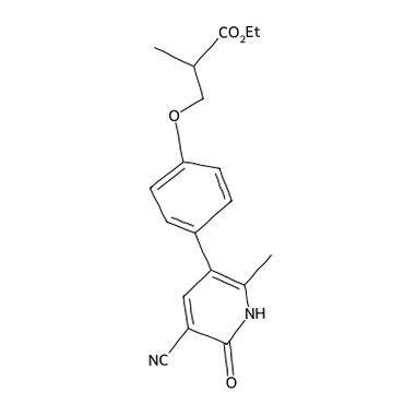 CCOC(=O)C(C)COc1ccc(-c2cc(C#N)c(=O)[nH]c2C)cc1